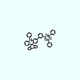 c1ccc(-c2nc(-c3ccccc3)nc(-c3cccc(-c4ccc5c(c4)N(c4ccccc4)c4ccccc4C54c5ccccc5-c5ccccc54)c3)n2)cc1